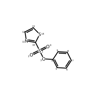 O=S(=O)(Oc1ccccc1)c1nccs1